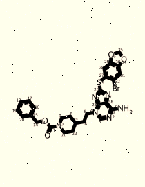 Nc1ncn(CCC2CCN(C(=O)OCc3ccccc3)CC2)c2nc(Sc3cc4c(cc3Br)OCO4)nc1-2